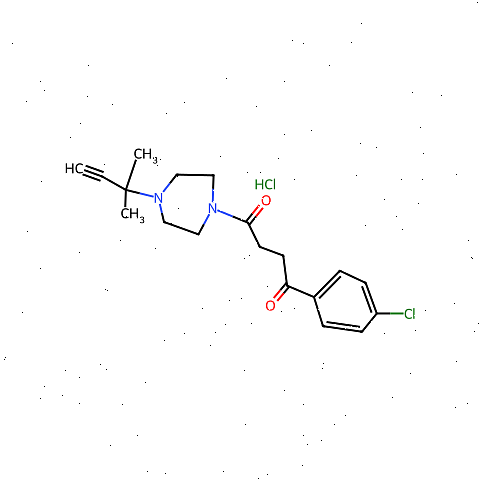 C#CC(C)(C)N1CCN(C(=O)CCC(=O)c2ccc(Cl)cc2)CC1.Cl